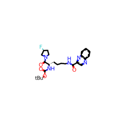 CC(C)(C)OC(=O)N[C@@H](CCCCNC(=O)c1cnc2ccccc2n1)C(=O)N1CC[C@H](F)C1